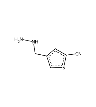 N#Cc1cc(CNN)cs1